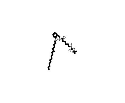 CCCCCCCCCCCCCCCCOc1ccccc1CN(C)C(=O)CCCCCNC(=O)OC(C)(C)C